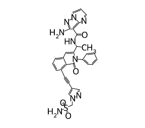 CC(NC(=O)c1c(N)nn2cccnc12)c1cc2cccc(C#Cc3cnn(CS(N)(=O)=O)c3)c2c(=O)n1-c1ccccc1